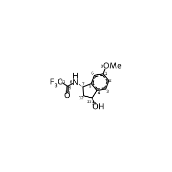 COc1ccc2c(c1)[C@@H](NC(=O)C(F)(F)F)C[C@@H]2O